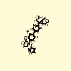 O=C1OCC[N@+]1(Cn1ccnn1)c1ccc(-c2ccc(C3(CO)C4COCC43)nc2)c(F)c1